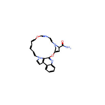 NC(=O)C1C=C2CN1/C=C/N=C\O/C=C/C=C/C=C/n1ccc3c4ccccc4nc(c31)O2